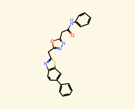 O=C(Cc1nnc(Cc2nc3ccc(-c4ccccc4)cc3s2)o1)Nc1ccccc1